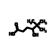 C[N+](C)(C)C(O)CCC(=O)O